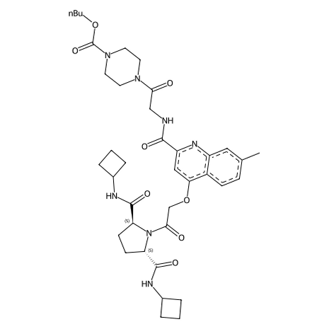 CCCCOC(=O)N1CCN(C(=O)CNC(=O)c2cc(OCC(=O)N3[C@H](C(=O)NC4CCC4)CC[C@H]3C(=O)NC3CCC3)c3ccc(C)cc3n2)CC1